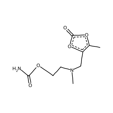 Cc1oc(=O)oc1CN(C)CCOC(N)=O